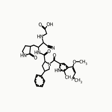 C=C/C=C(/OC)c1cc(C(=O)N2CC(c3ccccc3)CC2C(=O)NC(CC2CCNC2=O)C(C#N)NCC(=O)O)[nH]c1C